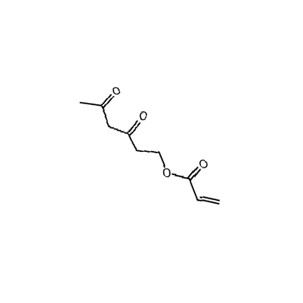 C=CC(=O)OCCC(=O)CC(C)=O